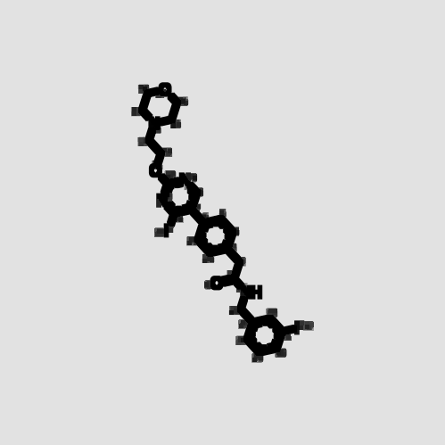 O=C(Cc1ccc(-c2cnc(OCCN3CCOCC3)nc2F)cc1)NCc1cccc(F)c1